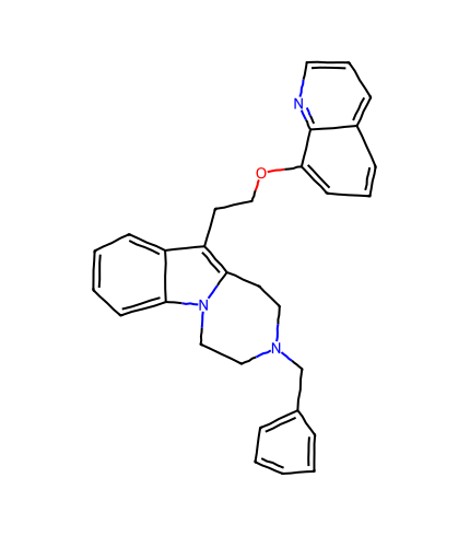 c1ccc(CN2CCc3c(CCOc4cccc5cccnc45)c4ccccc4n3CC2)cc1